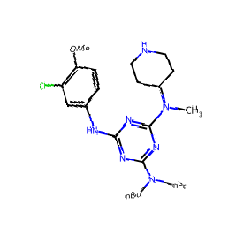 CCCCN(CCC)c1nc(Nc2ccc(OC)c(Cl)c2)nc(N(C)C2CCNCC2)n1